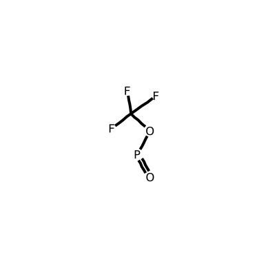 O=POC(F)(F)F